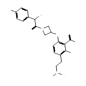 NC(C(=O)N1CC(Oc2ccc(CCB(O)O)c(O)c2C(=O)O)C1)c1ccc(O)cc1